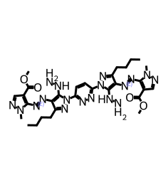 CCCCc1nn(-c2ccc(-n3nc(CCCC)c(/N=N/c4c(C(=O)OC)cnn4C)c3NN)nn2)c(NN)c1/N=N/c1c(C(=O)OC)cnn1C